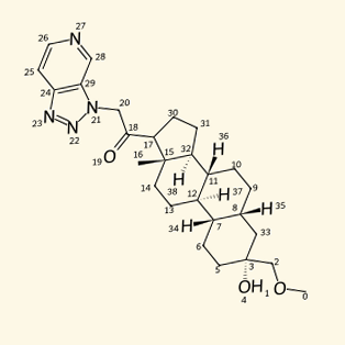 COC[C@@]1(O)CC[C@H]2[C@H](CC[C@@H]3[C@@H]2CC[C@]2(C)C(C(=O)Cn4nnc5ccncc54)CC[C@@H]32)C1